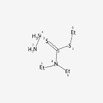 CCSC(=S)N(CC)CC.N[SiH3]